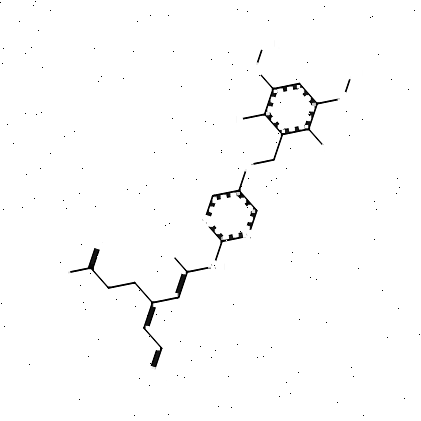 C=C/C=C(\C=C(/C)Nc1ncc(OCc2c(F)c(OC)cc(OC)c2F)cn1)CCC(=O)O